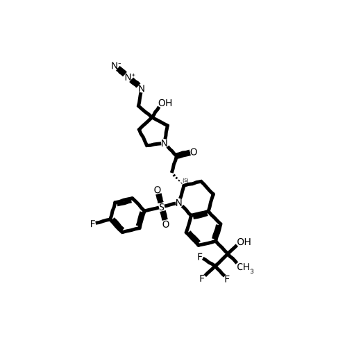 CC(O)(c1ccc2c(c1)CC[C@@H](CC(=O)N1CCC(O)(CN=[N+]=[N-])C1)N2S(=O)(=O)c1ccc(F)cc1)C(F)(F)F